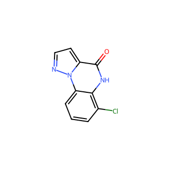 O=c1[nH]c2c(Cl)cccc2n2nccc12